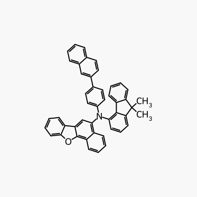 CC1(C)c2ccccc2-c2c(N(c3ccc(-c4ccc5ccccc5c4)cc3)c3cc4c5ccccc5oc4c4ccccc34)cccc21